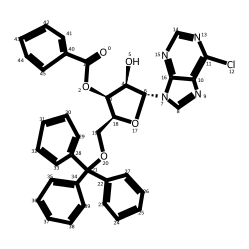 O=C(O[C@H]1[C@@H](O)[C@H](n2cnc3c(Cl)ncnc32)O[C@H]1COC(c1ccccc1)(c1ccccc1)c1ccccc1)c1ccccc1